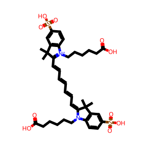 CC1(C)C(/C=C/C=C/C=C/C=C2/N(CCCCCC(=O)O)c3ccc(S(=O)(=O)O)cc3C2(C)C)=[N+](CCCCCC(=O)O)c2ccc(S(=O)(=O)O)cc21